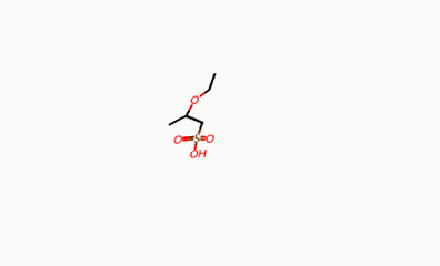 CCOC(C)CS(=O)(=O)O